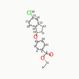 CCOC(=O)c1ccc(OC2CCc3cc(Cl)ccc32)cc1